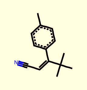 Cc1ccc(/C(=C\C#N)C(C)(C)C)cc1